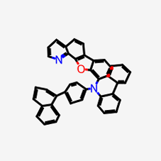 c1ccc(-c2ccccc2N(c2ccc(-c3cccc4ccccc34)cc2)c2cccc3c2oc2c3ccc3cccnc32)cc1